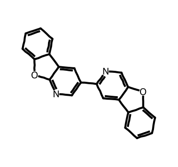 c1ccc2c(c1)oc1cnc(-c3cnc4oc5ccccc5c4c3)cc12